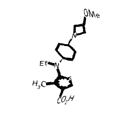 CCN(c1scc(C(=O)O)c1C)[C@H]1CC[C@H](N2CC(OC)C2)CC1